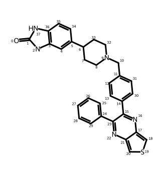 O=C1[N]c2cc(C3CCN(Cc4ccc(-c5nc6cscc6nc5-c5ccccc5)cc4)CC3)ccc2N1